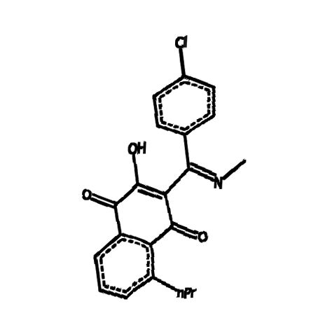 CCCc1cccc2c1C(=O)C(C(=NC)c1ccc(Cl)cc1)=C(O)C2=O